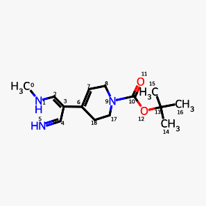 CN/C=C(\C=N)C1=CCN(C(=O)OC(C)(C)C)CC1